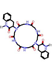 CCNC(=O)C(Cc1ccccc1)N1CC(=O)NCC(=O)NCC(=O)N(C(Cc2ccccc2)C(=O)NCC)CC(=O)NCC(=O)NCC1=O